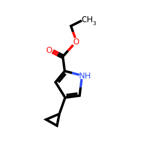 CCOC(=O)c1cc(C2CC2)c[nH]1